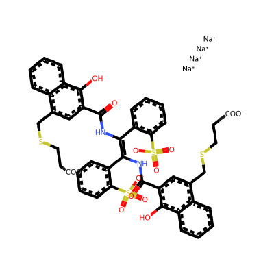 O=C([O-])CCSCc1cc(C(=O)NC(=C(NC(=O)c2cc(CSCCC(=O)[O-])c3ccccc3c2O)c2ccccc2S(=O)(=O)[O-])c2ccccc2S(=O)(=O)[O-])c(O)c2ccccc12.[Na+].[Na+].[Na+].[Na+]